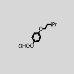 CC(C)CCOc1ccc(OC=O)cc1